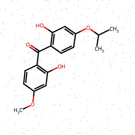 COc1ccc(C(=O)c2ccc(OC(C)C)cc2O)c(O)c1